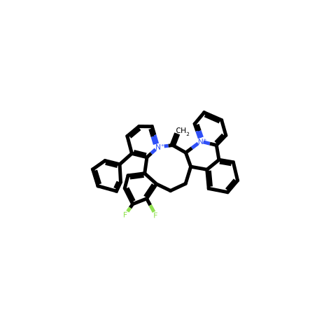 C=C1C2C(CCc3c(ccc(F)c3F)-c3c(-c4ccccc4)ccc[n+]31)c1ccccc1-c1cccc[n+]12